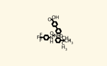 CC(C)(C)c1ccccc1Oc1ccc(-c2ccc(C(=O)O)cc2)cc1NC(=O)Nc1ccc(C(F)(F)F)cc1